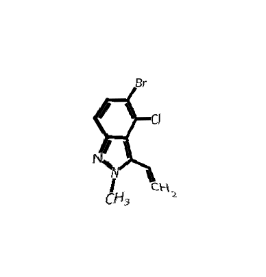 C=Cc1c2c(Cl)c(Br)ccc2nn1C